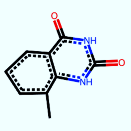 Cc1cccc2c(=O)[nH]c(=O)[nH]c12